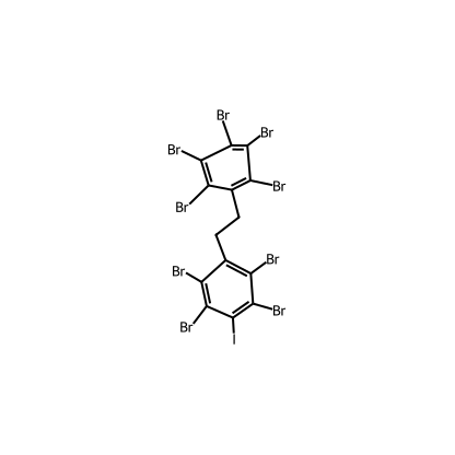 Brc1c(Br)c(Br)c(CCc2c(Br)c(Br)c(I)c(Br)c2Br)c(Br)c1Br